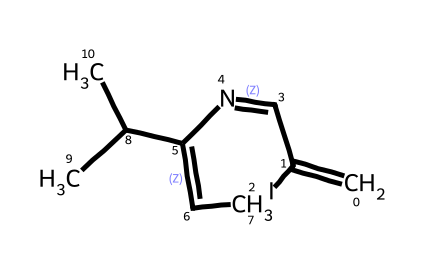 C=C(I)/C=N\C(=C/C)C(C)C